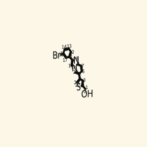 OCc1cc(-c2ccc3nc(-c4cccc(Br)c4)cn3c2)cs1